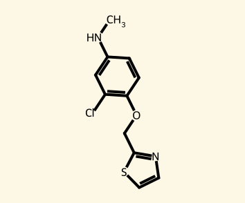 CNc1ccc(OCc2nccs2)c(Cl)c1